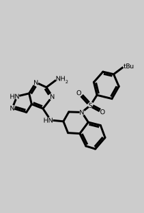 CC(C)(C)c1ccc(S(=O)(=O)N2CC(Nc3nc(N)nc4[nH]ncc34)Cc3ccccc32)cc1